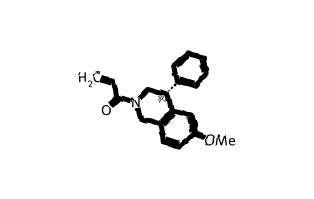 C=CC(=O)N1Cc2ccc(OC)cc2[C@@H](c2ccccc2)C1